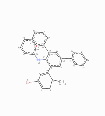 CC1CC=C(Br)C=C1c1cc(-c2ccccc2)cc(-c2ccccc2)c1Nc1ccccc1